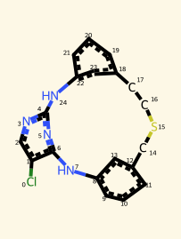 Clc1cnc2nc1Nc1cccc(c1)CSCCc1cccc(c1)N2